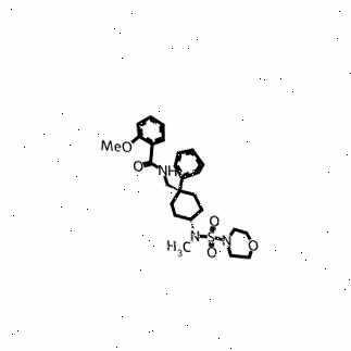 COc1ccccc1C(=O)NC[C@]1(c2ccccc2)CC[C@@H](N(C)S(=O)(=O)N2CCOCC2)CC1